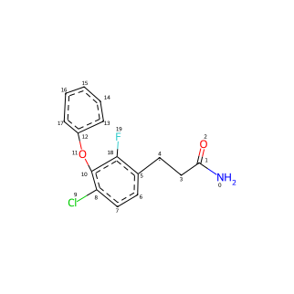 NC(=O)C[CH]c1ccc(Cl)c(Oc2ccccc2)c1F